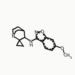 COc1ccc2c(NC3C4CCN(CC4)C34CC4)noc2c1